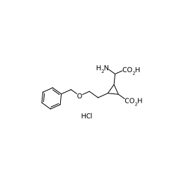 Cl.NC(C(=O)O)C1C(CCOCc2ccccc2)C1C(=O)O